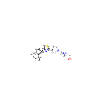 CC1(C)CCC(C)(C)c2cc(-c3csc(C4CCN(CCNCCO)CC4)n3)ccc21